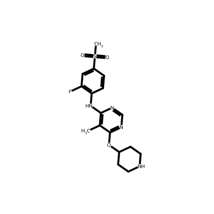 Cc1c(Nc2ccc(S(C)(=O)=O)cc2F)ncnc1OC1CCNCC1